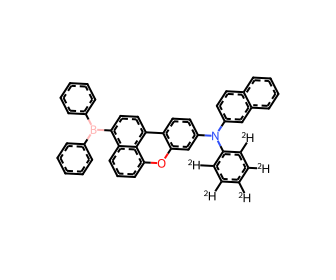 [2H]c1c([2H])c([2H])c(N(c2ccc3c(c2)Oc2cccc4c(B(c5ccccc5)c5ccccc5)ccc-3c24)c2ccc3ccccc3c2)c([2H])c1[2H]